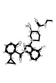 CCOC(=O)[C@@H]1CCN(c2nn(C(=O)c3c(Cl)cccc3C3CC3)c3cccc(F)c23)C[C@H]1O